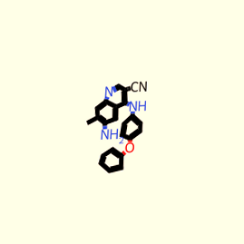 Cc1cc2ncc(C#N)c(Nc3ccc(Oc4ccccc4)cc3)c2cc1N